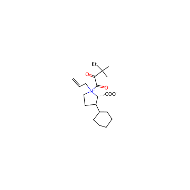 C=CC[N+]1(C(=O)C(=O)C(C)(C)CC)CCC(C2CCCCC2)[C@H]1C(=O)[O-]